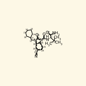 CC(C)(C)[C@H](NC(=O)n1c(=O)n(CC2CCCCC2)c2cc(C#N)ccc21)C(N)=O